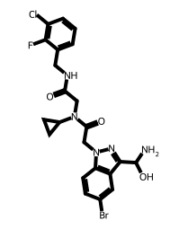 NC(O)c1nn(CC(=O)N(CC(=O)NCc2cccc(Cl)c2F)C2CC2)c2ccc(Br)cc12